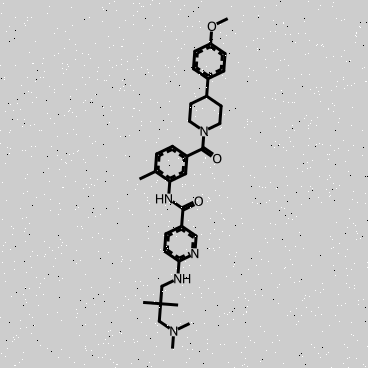 COc1ccc(C2CCN(C(=O)c3ccc(C)c(NC(=O)c4ccc(NCC(C)(C)CN(C)C)nc4)c3)CC2)cc1